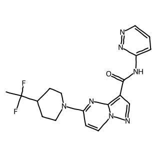 CC(F)(F)C1CCN(c2ccn3ncc(C(=O)Nc4cccnn4)c3n2)CC1